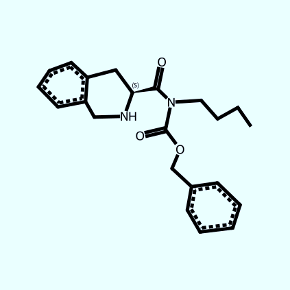 CCCCN(C(=O)OCc1ccccc1)C(=O)[C@@H]1Cc2ccccc2CN1